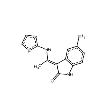 CC(Nc1nccs1)=C1C(=O)Nc2ccc(N)cc21